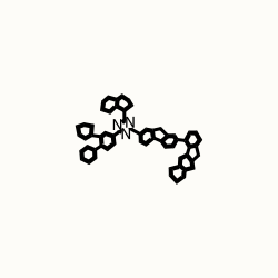 c1ccc(-c2ccc(-c3nc(-c4ccc5c(c4)Cc4cc(-c6cccc7c6-c6cc8ccccc8cc6C7)ccc4-5)nc(-c4cccc5ccccc45)n3)cc2-c2ccccc2)cc1